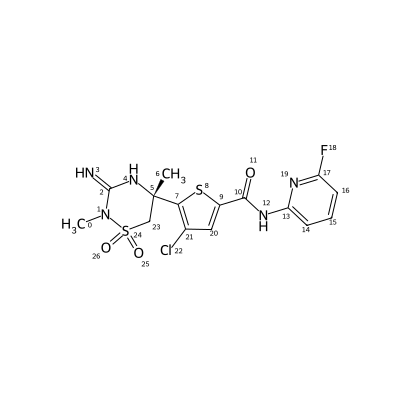 CN1C(=N)N[C@](C)(c2sc(C(=O)Nc3cccc(F)n3)cc2Cl)CS1(=O)=O